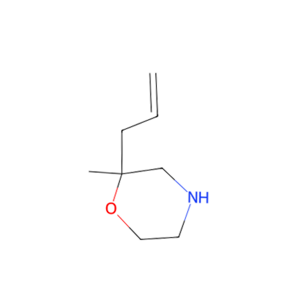 C=CCC1(C)CNCCO1